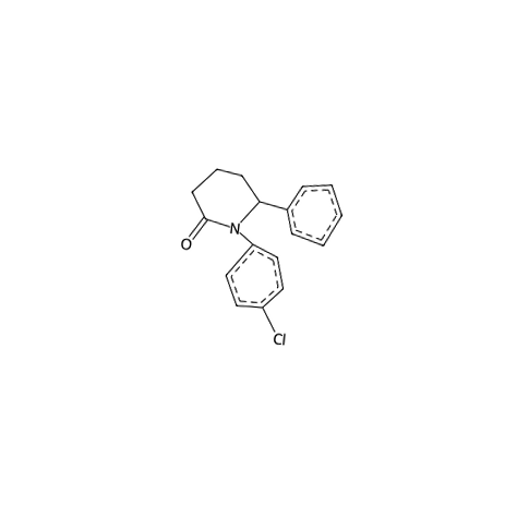 O=C1CCCC(c2ccccc2)N1c1ccc(Cl)cc1